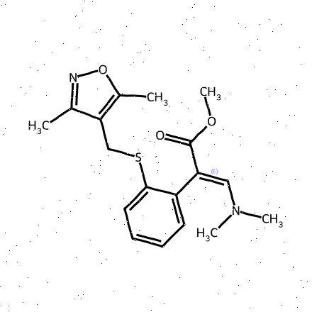 COC(=O)/C(=C/N(C)C)c1ccccc1SCc1c(C)noc1C